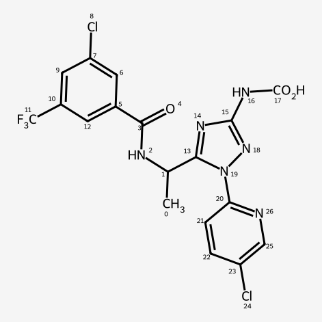 CC(NC(=O)c1cc(Cl)cc(C(F)(F)F)c1)c1nc(NC(=O)O)nn1-c1ccc(Cl)cn1